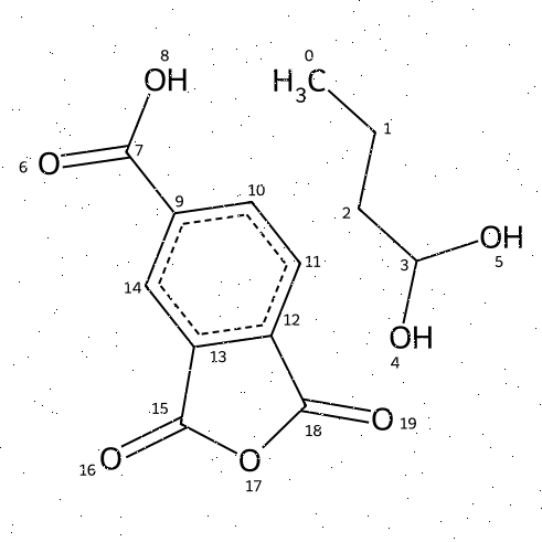 CCCC(O)O.O=C(O)c1ccc2c(c1)C(=O)OC2=O